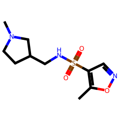 Cc1oncc1S(=O)(=O)NCC1CCN(C)C1